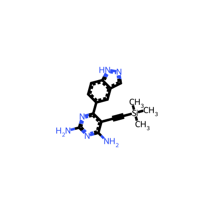 C[Si](C)(C)C#Cc1c(N)nc(N)nc1-c1ccc2[nH]ncc2c1